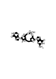 Nc1nc2c(ncn2[C@@H]2OC3CC[C@H]4[C@@H](F)[C@H](n5cnc6c(=O)[nH]cnc65)O[C@@H]4COP(=O)(O)O[C@@H]2C3)c(=O)[nH]1